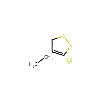 C1=CSSC1.CC.S